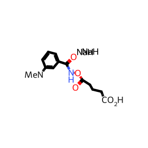 CNc1cccc(C(=O)NOC(=O)CCCC(=O)O)c1.[NaH].[NaH]